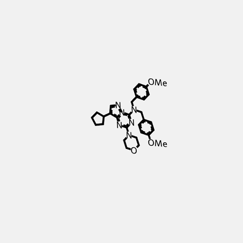 COc1ccc(CN(Cc2ccc(OC)cc2)c2nc(N3CCOCC3)nc3c(C4CCCC4)cnn23)cc1